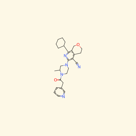 CC1CN(c2nc(C3CCCCC3)c3c(c2C#N)CCOC3)CCN1C(=O)Cc1cccnc1